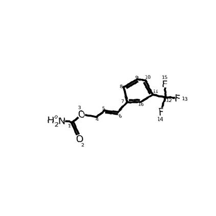 NC(=O)OCC=Cc1cccc(C(F)(F)F)c1